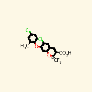 Cc1cc(Cl)ccc1Oc1cc2c(cc1Cl)C=C(C(=O)O)[C@@H](C(F)(F)F)O2